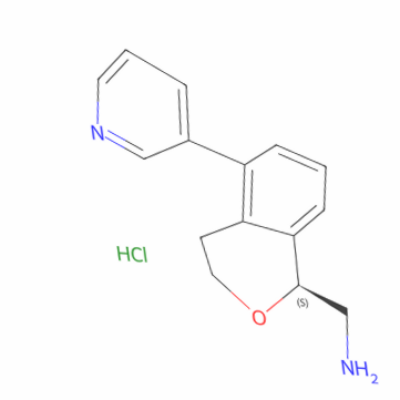 Cl.NC[C@H]1OCCc2c(-c3cccnc3)cccc21